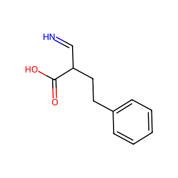 N=CC(CCc1ccccc1)C(=O)O